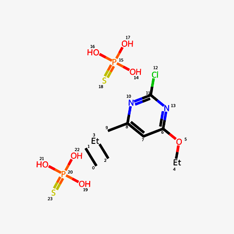 CC.CCC.CCOc1cc(C)nc(Cl)n1.OP(O)(O)=S.OP(O)(O)=S